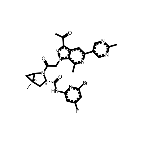 CC(=O)c1nn(CC(=O)N2C3C[C@]3(C)C[C@H]2C(=O)Nc2cc(F)cc(Br)n2)c2c(C)nc(-c3cnc(C)nc3)cc12